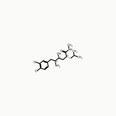 CNC(=O)[C@H](CC(C)C)C[C@H](O)[C@@H](N)Cc1ccc(Cl)c(Cl)c1